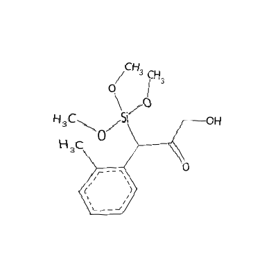 CO[Si](OC)(OC)C(C(=O)CO)c1ccccc1C